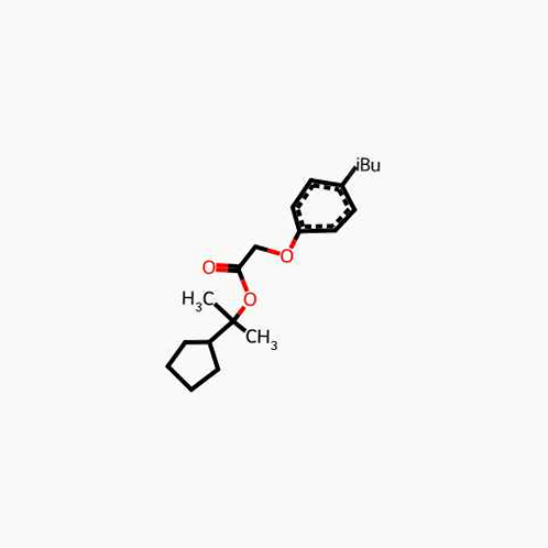 CCC(C)c1ccc(OCC(=O)OC(C)(C)C2CCCC2)cc1